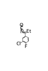 CC[C@@H](N=C=O)c1ccc(F)c(Cl)c1